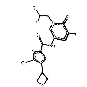 O=C(Nc1cc(F)c(=O)n(CC(F)F)c1)c1cc(C2COC2)c(Cl)s1